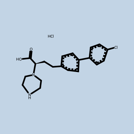 Cl.O=C(O)[C@@H](CCc1ccc(-c2ccc(Cl)cc2)cc1)N1CCNCC1